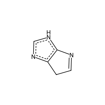 C1=Nc2[nH]cnc2C1